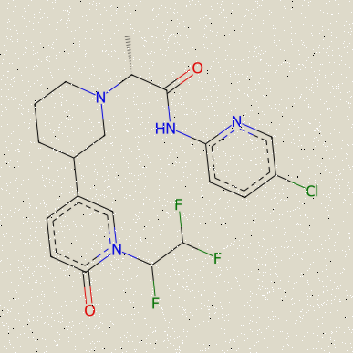 C[C@H](C(=O)Nc1ccc(Cl)cn1)N1CCCC(c2ccc(=O)n(C(F)C(F)F)c2)C1